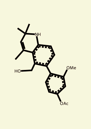 COc1cc(OC(C)=O)ccc1-c1ccc2c(c1CO)C(C)=CC(C)(C)N2